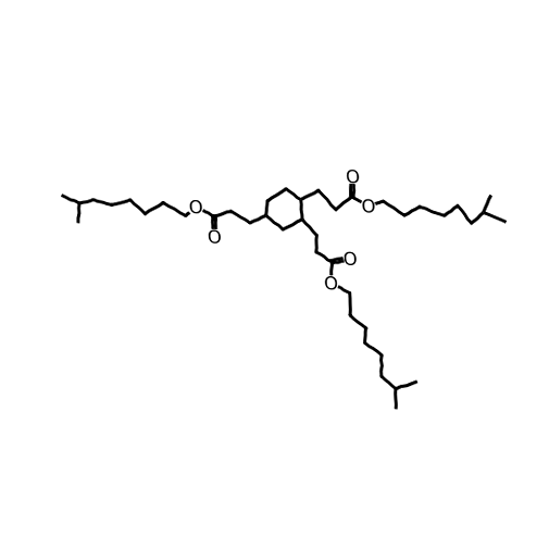 CC(C)CCCCCCOC(=O)CCC1CCC(CCC(=O)OCCCCCCC(C)C)C(CCC(=O)OCCCCCCC(C)C)C1